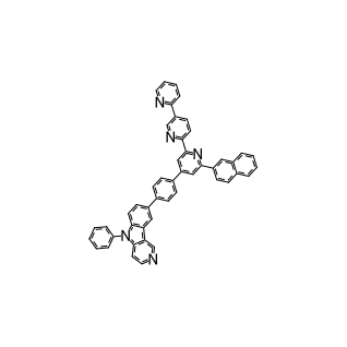 c1ccc(-n2c3ccncc3c3cc(-c4ccc(-c5cc(-c6ccc7ccccc7c6)nc(-c6ccc(-c7ccccn7)cn6)c5)cc4)ccc32)cc1